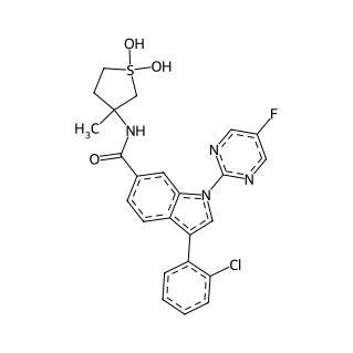 CC1(NC(=O)c2ccc3c(-c4ccccc4Cl)cn(-c4ncc(F)cn4)c3c2)CCS(O)(O)C1